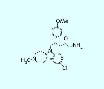 COc1ccc(C(CC(=O)CN)Cn2c3c(c4cc(Cl)ccc42)CCN(C)CC3)cc1